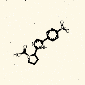 O=C(O)N1CCCC1c1ncc(-c2ccc([N+](=O)[O-])cc2)[nH]1